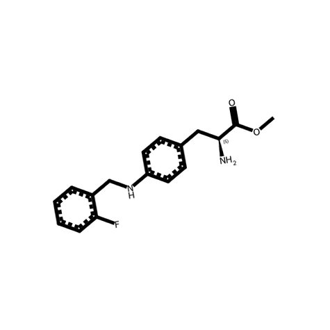 COC(=O)[C@@H](N)Cc1ccc(NCc2ccccc2F)cc1